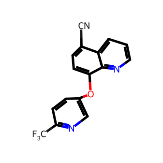 N#Cc1ccc(Oc2ccc(C(F)(F)F)nc2)c2ncccc12